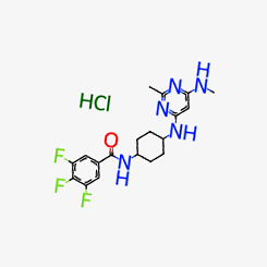 CNc1cc(NC2CCC(NC(=O)c3cc(F)c(F)c(F)c3)CC2)nc(C)n1.Cl